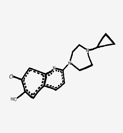 Oc1cc2ccc(N3CCN(C4CC4)CC3)nc2cc1Cl